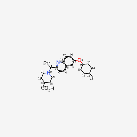 CCC(c1ccc2cc(OC3CCC(C)CC3)ccc2n1)N1CCC(C(=O)O)CC1